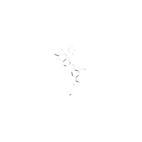 CC[C@@H]1C(=O)N(C)c2cnc(Nc3ccc(C(=O)NCCC=O)cc3OC)nc2N1C1CCCC1